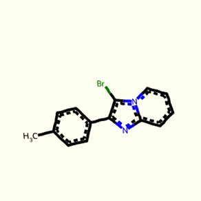 Cc1ccc(-c2nc3ccccn3c2Br)cc1